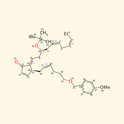 CC/C=C\C/C=C\C[C@@H](C/C=C1/C(=O)C=C[C@@H]1C/C=C\CCCOCc1ccc(OC)cc1)O[Si](C)(C)C(C)(C)C